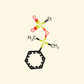 CCS(=O)(=O)OS(C)(C)c1ccccc1